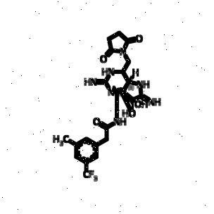 Cc1cc(CC(=O)NC2CN3C(=N)NC(CN4C(=O)CCC4=O)[C@@H]4NC(=N)N[C@@]43C2(O)O)cc(C(F)(F)F)c1